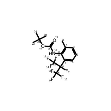 Cc1[c]ccc(C(F)(C(F)(F)F)C(F)(F)F)c1NC(=O)OC(C)(C)C